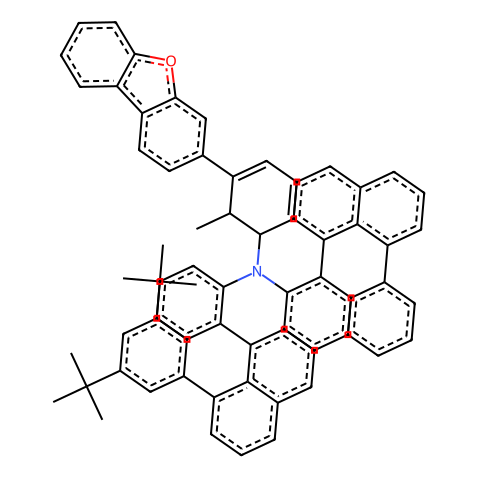 CC1C(c2ccc3c(c2)oc2ccccc23)=CC=CC1N(c1ccccc1-c1cccc2cccc(-c3ccccc3)c12)c1ccccc1-c1cccc2cccc(-c3cc(C(C)(C)C)cc(C(C)(C)C)c3)c12